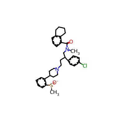 CN(CC(CCN1CCC(c2ccccc2[S@+](C)[O-])CC1)c1ccc(Cl)cc1)C(=O)c1cccc2c1CCCC2